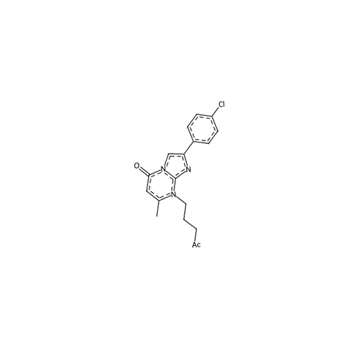 CC(=O)CCCn1c(C)cc(=O)n2cc(-c3ccc(Cl)cc3)nc12